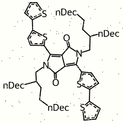 CCCCCCCCCCCCC(CCCCCCCCCC)CN1C(=O)C2=C(c3ccc(-c4cccs4)s3)N(CC(CCCCCCCCCC)CCCCCCCCCCCC)C(=O)C2=C1c1ccc(-c2cccs2)s1